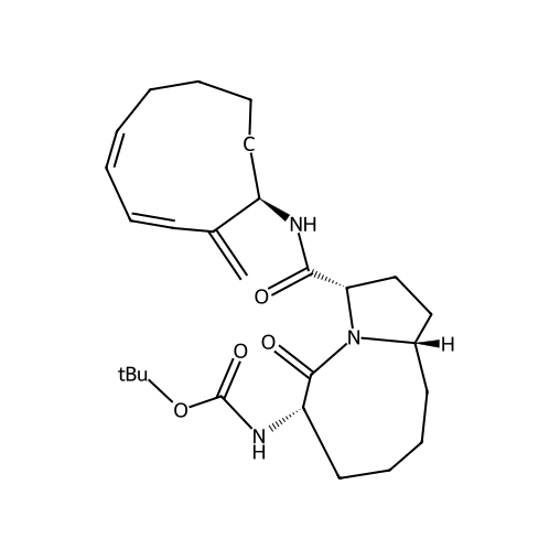 C=C1/C=C\C=C/CCCC[C@H]1NC(=O)[C@@H]1CC[C@@H]2CCCC[C@H](NC(=O)OC(C)(C)C)C(=O)N21